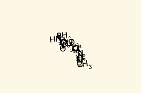 BNc1ccn(CC(=O)c2ccc(CN3CCN(C)CC3)cc2)c(=O)c1